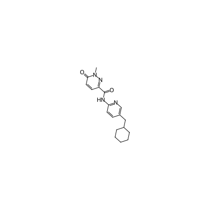 Cn1nc(C(=O)Nc2ccc(CC3CCCCC3)cn2)ccc1=O